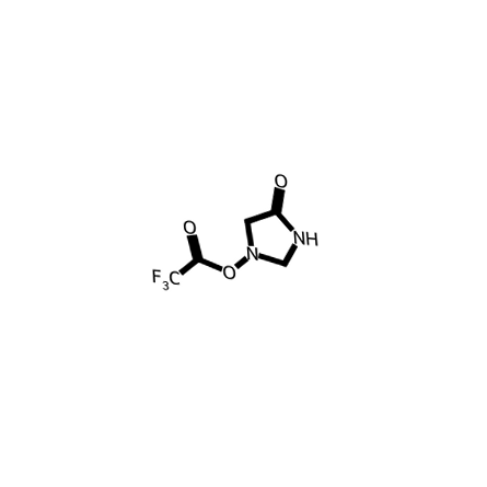 O=C1CN(OC(=O)C(F)(F)F)CN1